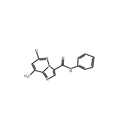 Cc1cc(Cl)nn2c(C(=O)Nc3ccccc3)cnc12